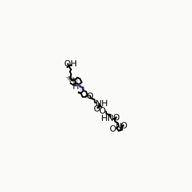 C=C1CC[C@H](OCCCNC(=O)COCCCNC(=O)CCN2C(=O)C=CC2=O)C/C1=C/C=C1\CCC[C@]2(C)[C@@H]([C@H](C)CCCC(C)(C)O)CC[C@@H]12